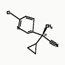 C[C@](C#N)(c1ccc(Cl)nc1)C1CC1